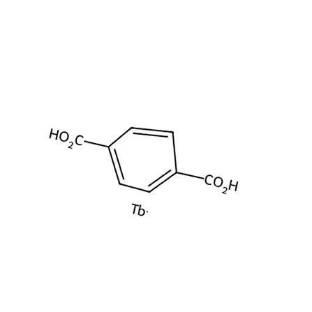 O=C(O)c1ccc(C(=O)O)cc1.[Tb]